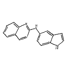 c1ccc2nc(Nc3ccc4[nH]ccc4c3)ccc2c1